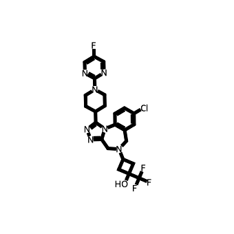 OC1(C(F)(F)F)CC(N2Cc3cc(Cl)ccc3-n3c(nnc3C3CCN(c4ncc(F)cn4)CC3)C2)C1